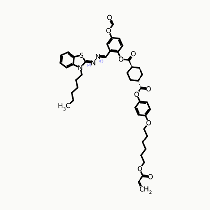 C=CC(=O)OCCCCCCOc1ccc(OC(=O)[C@H]2CC[C@H](C(=O)Oc3ccc(OC=O)cc3/C=N/N=c3\sc4ccccc4n3CCCCCC)CC2)cc1